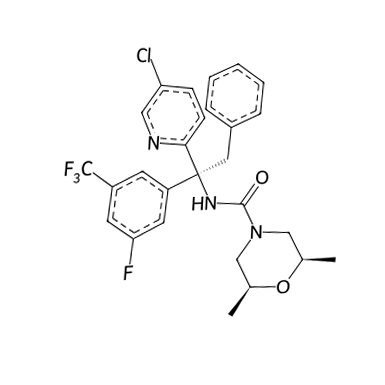 C[C@@H]1CN(C(=O)N[C@@](Cc2ccccc2)(c2cc(F)cc(C(F)(F)F)c2)c2ccc(Cl)cn2)C[C@H](C)O1